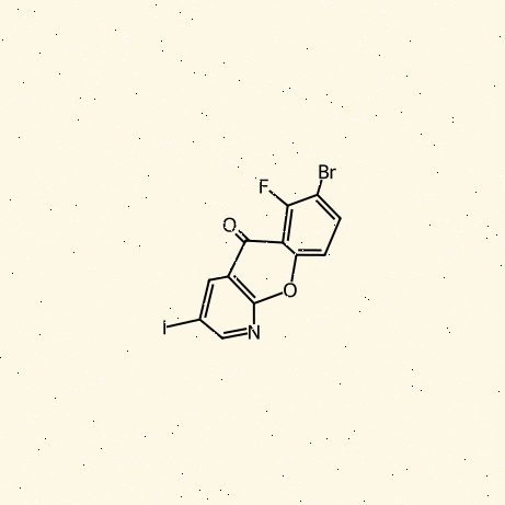 O=c1c2cc(I)cnc2oc2ccc(Br)c(F)c12